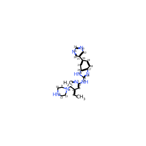 C=N/C(=C\C(=C/C)CN1CCNCC1)Nc1nc2ccc(-c3cncnc3)cc2[nH]1